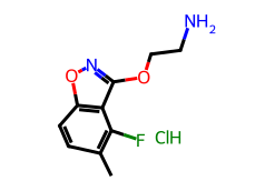 Cc1ccc2onc(OCCN)c2c1F.Cl